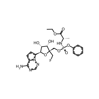 CCOC(=O)[C@H](C)N[P@](=O)(OC[C@@]1(CF)O[C@@H](c2ccc3c(N)ncnn23)[C@H](O)[C@@H]1O)Oc1ccccc1